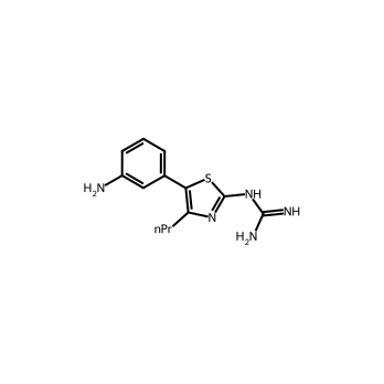 CCCc1nc(NC(=N)N)sc1-c1cccc(N)c1